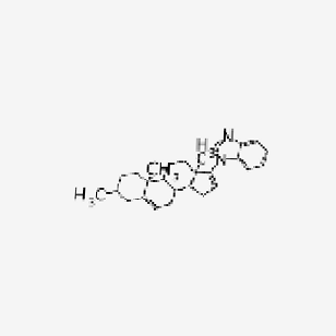 C[C@H]1CC[C@@]2(C)C(=CCC3C2CC[C@]2(C)C(n4cnc5ccccc54)=CCC32)C1